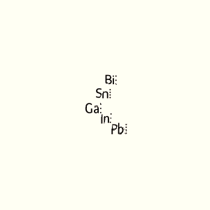 [Bi].[Ga].[In].[Pb].[Sn]